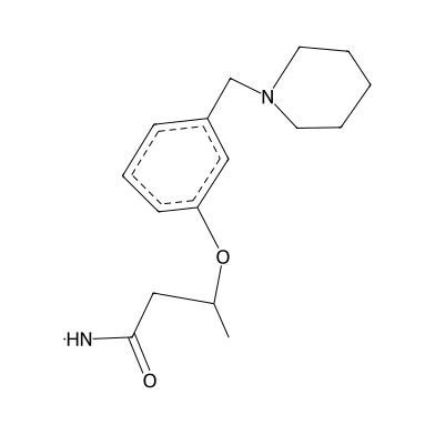 CC(CC([NH])=O)Oc1cccc(CN2CCCCC2)c1